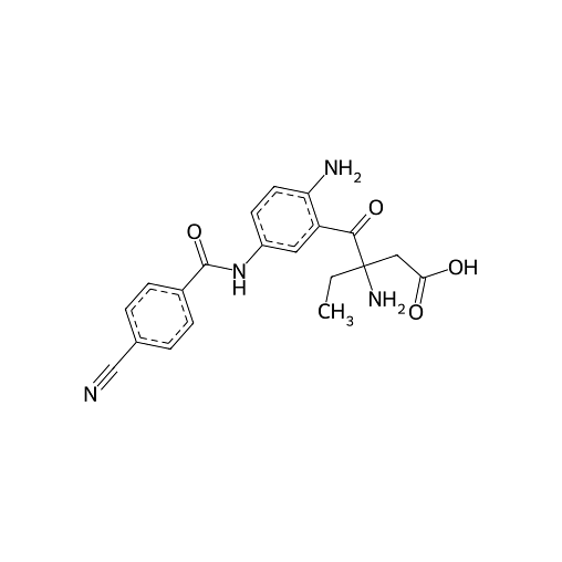 CCC(N)(CC(=O)O)C(=O)c1cc(NC(=O)c2ccc(C#N)cc2)ccc1N